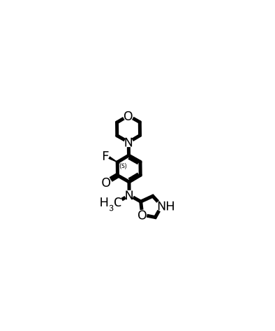 CN(C1=CC=C(N2CCOCC2)[C@H](F)C1=O)C1CNCO1